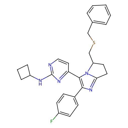 Fc1ccc(-c2nc3n(c2-c2ccnc(NC4CCC4)n2)C(CSCc2ccccc2)CC3)cc1